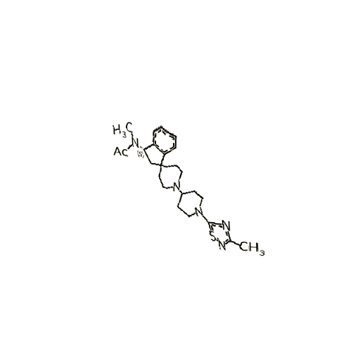 CC(=O)N(C)[C@H]1CC2(CCN(C3CCN(c4nc(C)ns4)CC3)CC2)c2ccccc21